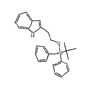 CC(C)(C)[Si](OCCc1cc2ccccc2[nH]1)(c1ccccc1)c1ccccc1